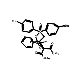 COC(=O)C(C(=O)OC)=C(CS(=O)(O[Cl+3]([O-])([O-])[O-])(c1ccc(C(C)(C)C)cc1)c1ccc(C(C)(C)C)cc1)c1ccccc1